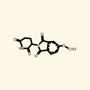 O=COc1ccc2c(c1)C(=O)N(C1CCC(=O)NC1=O)C2=O